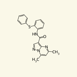 Cc1cc(C)n2ncc(C(=O)Nc3ccccc3Sc3ccccc3)c2n1